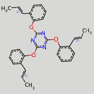 C/C=C/c1ccccc1Oc1nc(Oc2ccccc2/C=C/C)nc(Oc2ccccc2/C=C/C)n1